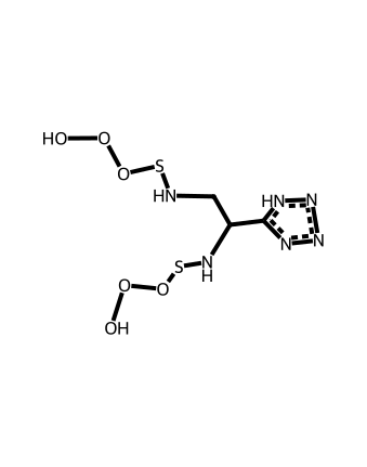 OOOSNCC(NSOOO)c1nnn[nH]1